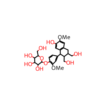 COc1cc2c(cc1O)C(c1ccc(OC3OC(CO)C(O)C(O)C3O)c(OC)c1)C(CO)C(CO)C2